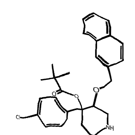 CC(C)(C)C(=O)OC1(c2ccc(Cl)cc2)CCNCC1OCc1ccc2ccccc2c1